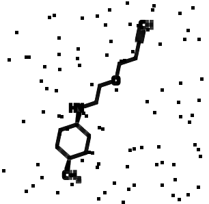 C#CCCOCCN[C@H]1CC[C@@H](C)CC1